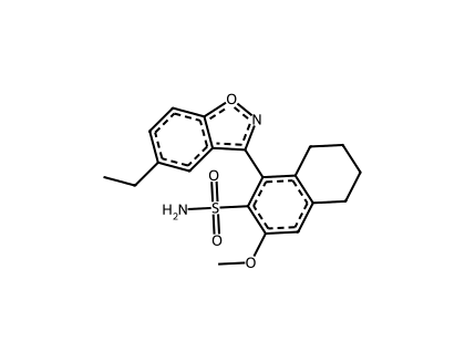 CCc1ccc2onc(-c3c4c(cc(OC)c3S(N)(=O)=O)CCCC4)c2c1